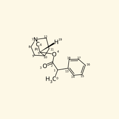 CC(C(=O)O[C@H]1CN2CCC1CC2)c1ccccc1